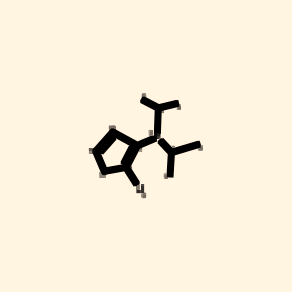 [Li][C]1=C(P(C(C)C)C(C)C)C=CC1